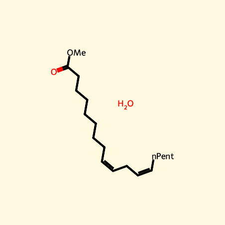 CCCCC/C=C\C/C=C\CCCCCCCC(=O)OC.O